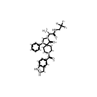 C[C@@H](C(=O)NCC(F)(F)F)N1CN(c2ccccc2)C2(CCN(C(=O)c3ccc4c(c3)CNN4)CC2)C1=O